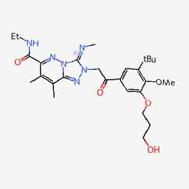 CCNC(=O)c1nn2/c(=N/C)n(CC(=O)c3cc(OCCCO)c(OC)c(C(C)(C)C)c3)nc2c(C)c1C